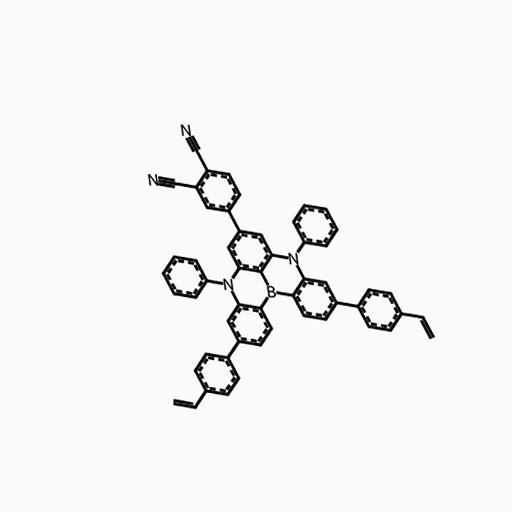 C=Cc1ccc(-c2ccc3c(c2)N(c2ccccc2)c2cc(-c4ccc(C#N)c(C#N)c4)cc4c2B3c2ccc(-c3ccc(C=C)cc3)cc2N4c2ccccc2)cc1